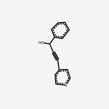 OC(C#Cc1ccncc1)c1ccccc1